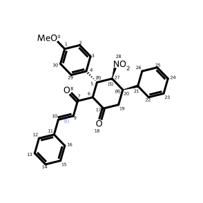 COc1ccc([C@H]2C(C(=O)/C=C/c3ccccc3)C(=O)C[C@H](C3C=CC=CC3)[C@@H]2[N+](=O)[O-])cc1